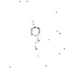 Clc1ccc(OCBr)cc1